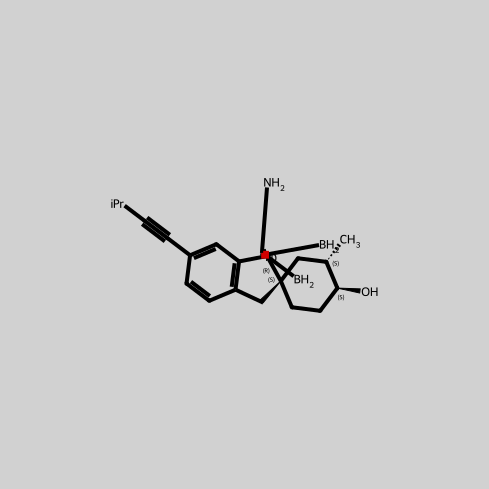 BC1(B)OC(N)=N[C@]12c1cc(C#CC(C)C)ccc1C[C@@]21CC[C@H](O)[C@@H](C)C1